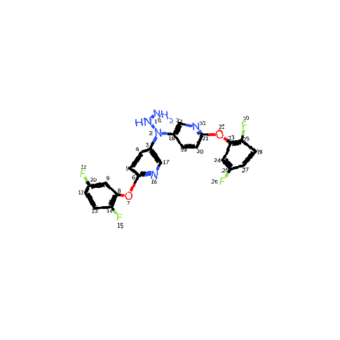 NNN(c1ccc(Oc2cc(F)ccc2F)nc1)c1ccc(Oc2cc(F)ccc2F)nc1